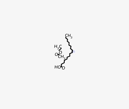 CCCCCCCC/C=C\CCCCCCCC(=O)O.CCCOC(C)=O